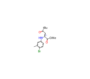 COC(=O)/C(=C/C(=O)C(C)(C)C)Nc1ccc(Br)c(C)c1